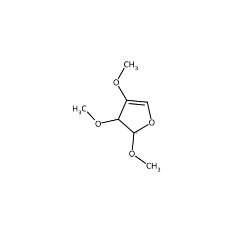 CO[C]1OC=C(OC)C1OC